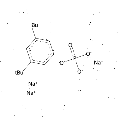 CCC(C)c1cccc(C(C)(C)C)c1.O=P([O-])([O-])[O-].[Na+].[Na+].[Na+]